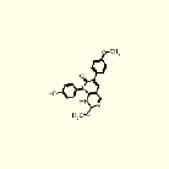 COc1ccc(-c2cc3c(n(-c4ccc(O)cc4)c2=O)NC(SC)N=C3)cc1